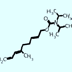 C=C/C=C(\C)CC/C=C/COC(=O)N(C(C)C)C(C)C